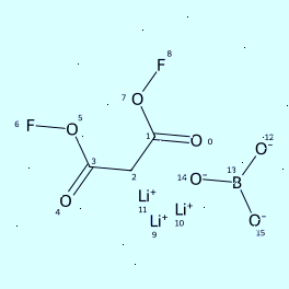 O=C(CC(=O)OF)OF.[Li+].[Li+].[Li+].[O-]B([O-])[O-]